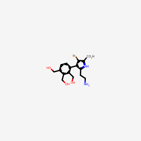 NCCc1[nH]c(C(=O)O)c(Br)c1-c1ccc(CO)c(CO)c1CO